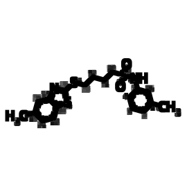 Cc1cccc(NS(=O)(=O)CCCCSc2nc3cc(C)ccc3s2)c1